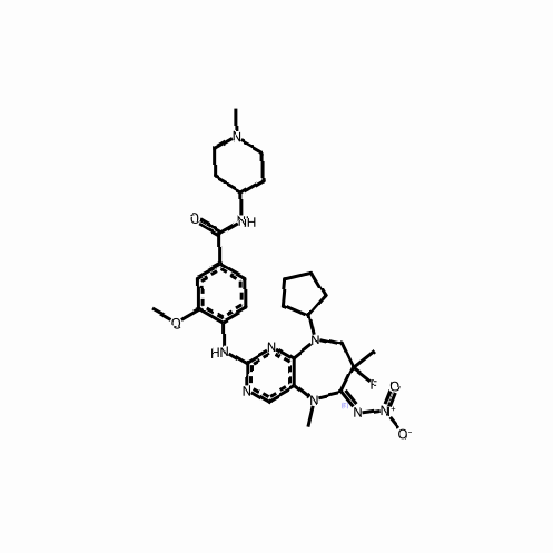 COc1cc(C(=O)NC2CCN(C)CC2)ccc1Nc1ncc2c(n1)N(C1CCCC1)CC(C)(F)/C(=N\[N+](=O)[O-])N2C